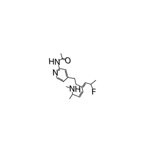 CNC(C)/C=C\C(=C/C(C)F)CCc1ccnc(NC(C)=O)c1